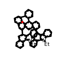 CCn1c2ccccc2c2c(-c3cccc4c(-c5ccccc5-c5ccccc5)c5cccc(-c6cc7ccccc7c7c6c6ccccc6n7CC)c5cc34)cc3ccccc3c21